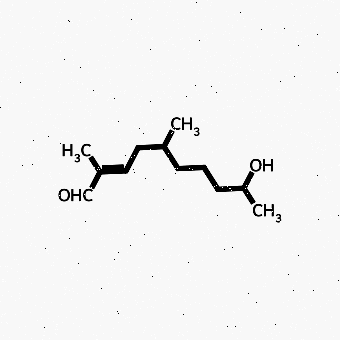 C/C(C=O)=C\CC(C)CCCC(C)O